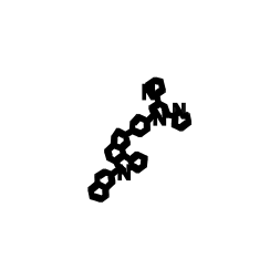 c1ccc(-c2cc(-c3ccc(-c4ccc5ccc6c(-c7ccc8ccccc8c7)nc7ccccc7c6c5c4)cc3)nc(-c3ccccn3)c2)nc1